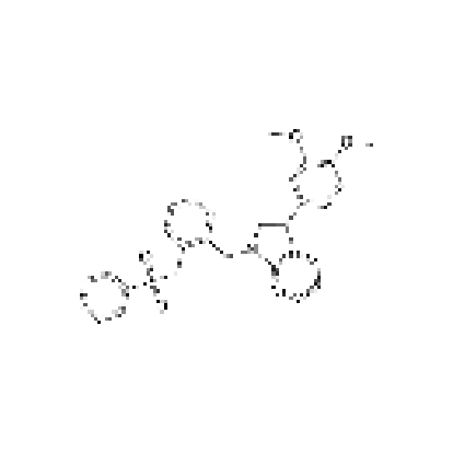 COc1ccc(C2CN(Cc3ccccc3CS(=O)(=O)c3ccccc3)c3ncccc32)cc1OC